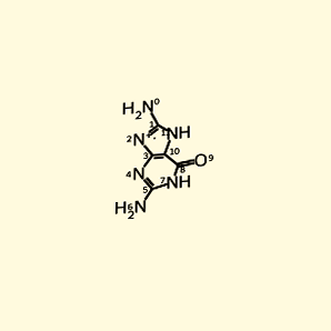 NC1=[N+]c2nc(N)[nH]c(=O)c2N1